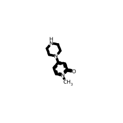 Cn1ccc(N2CCNCC2)cc1=O